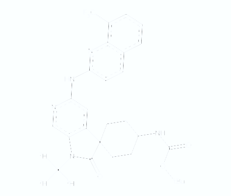 [2H]C([2H])([2H])N1C(=O)C2(CCC(NC(=O)OC(C)(C)C)CC2)c2cc(Nc3ccc4cccc(C(F)(F)F)c4n3)ncc21